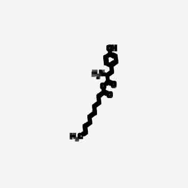 CCCCCCCCCC(=O)OC(=O)[C@@H](N)Cc1ccc(O)cc1